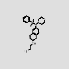 CCCN[C@H]1CCc2cc(N(N3CCOCC3)S(=O)(=O)c3ccccc3)ccc2C1